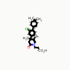 CC(C)C1=CN(CCC(=O)O)C(=O)CC1(C)c1ccc(C2=CCC(C)(C)CC2)c(Cl)c1